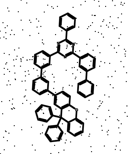 c1ccc(-c2cccc(-c3nc(-c4ccccc4)nc(-c4cccc(-c5cccc(-c6ccc7c(c6)C(c6ccccc6)(c6ccccc6)c6ccccc6O7)c5)c4)n3)c2)cc1